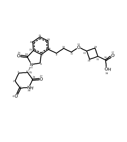 O=C1CC[C@H](N2Cc3c(CCCOC4CC(C(=O)O)C4)cccc3C2=O)C(=O)N1